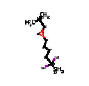 C=C(C)COCCCCC([SiH3])(I)I